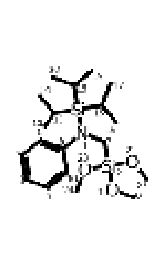 CO[Si](CN(c1ccccc1)[Si](C(C)C)(C(C)C)C(C)C)(OC)OC